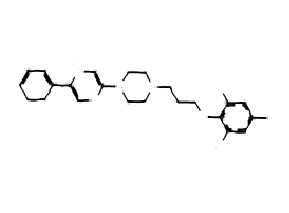 Fc1cc(F)c(OCCCN2CCN(C3=COC(C4=CC=CCC4)=CO3)CC2)c(Br)c1